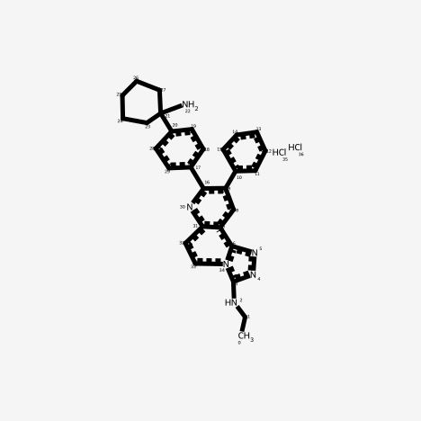 CCNc1nnc2c3cc(-c4ccccc4)c(-c4ccc(C5(N)CCCCC5)cc4)nc3ccn12.Cl.Cl